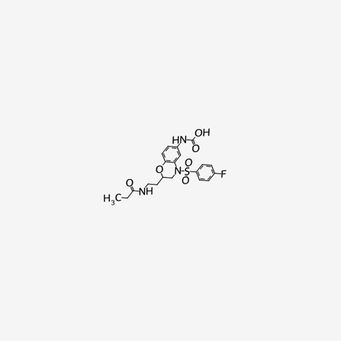 CCC(=O)NCCC1CN(S(=O)(=O)c2ccc(F)cc2)c2cc(NC(=O)O)ccc2O1